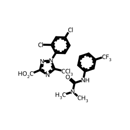 CN(C)C(=O)Nc1cccc(C(F)(F)F)c1.O=C(O)c1nc(C(Cl)(Cl)Cl)n(-c2ccc(Cl)cc2Cl)n1